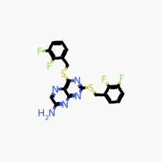 Nc1cnc2c(SCc3cccc(F)c3F)nc(SCc3cccc(F)c3F)nc2n1